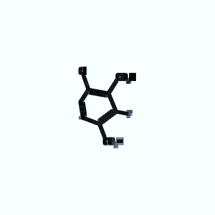 O=C(O)c1[c]cc(Cl)c(C(=O)O)c1F